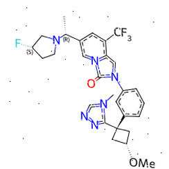 CO[C@H]1C[C@@](c2cccc(-n3cc4c(C(F)(F)F)cc([C@@H](C)N5CC[C@H](F)C5)cn4c3=O)c2)(c2nncn2C)C1